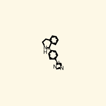 c1ccc2c(c1)CCN[C@H]2c1ccc(-n2cncn2)cc1